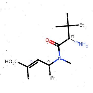 CCC(C)(C)[C@H](N)C(=O)N(C)[C@H](/C=C(\C)C(=O)O)C(C)C